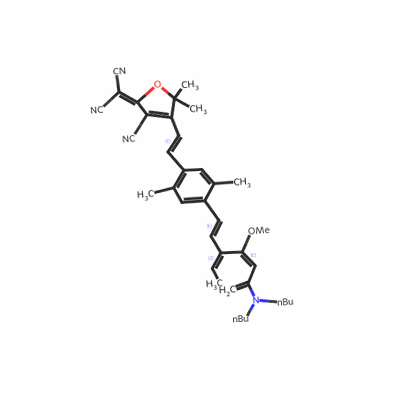 C=C(\C=C(OC)/C(=C\C)/C=C/c1cc(C)c(/C=C/C2=C(C#N)C(=C(C#N)C#N)OC2(C)C)cc1C)N(CCCC)CCCC